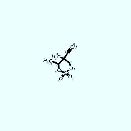 C#CC1(C)COS(=O)(=O)OC1C